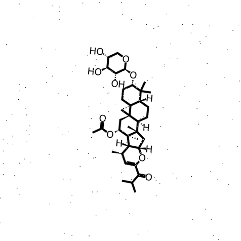 CC(=O)O[C@@H]1C[C@@]23C[C@@]24CC[C@H](O[C@@H]2OC[C@@H](O)[C@H](O)[C@H]2O)C(C)(C)[C@@H]4CC[C@H]3[C@]2(C)C[C@@H]3OC(C(=O)C(C)C)=C[C@@H](C)[C@@H]3[C@@]12C